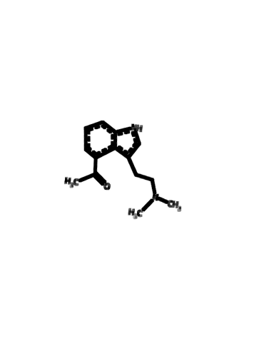 CC(=O)c1cccc2[nH]cc(CCN(C)C)c12